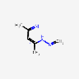 C=NN/C(=C\C(C)=N)C(F)(F)F